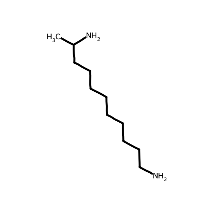 CC(N)CCCCCCCCCN